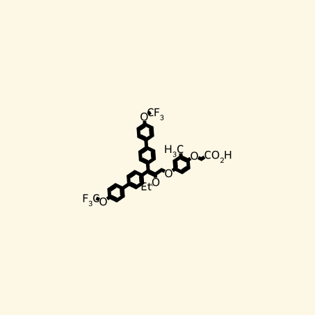 CCOC(COc1ccc(OCC(=O)O)c(C)c1)=C(c1ccc(-c2ccc(OC(F)(F)F)cc2)cc1)c1ccc(-c2ccc(OC(F)(F)F)cc2)cc1